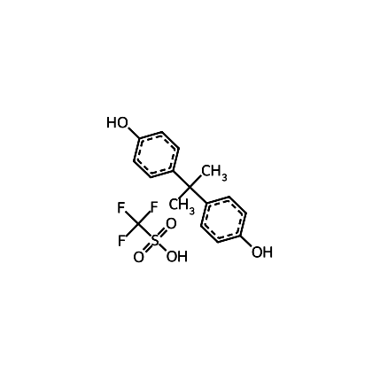 CC(C)(c1ccc(O)cc1)c1ccc(O)cc1.O=S(=O)(O)C(F)(F)F